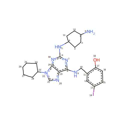 NC1CCC(Nc2nc(NCc3cc(I)ccc3O)c3ncn(C4CCCCC4)c3n2)CC1